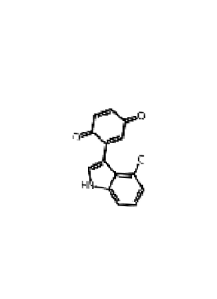 O=C1C=CC(=O)C(c2c[nH]c3cccc(Cl)c23)=C1